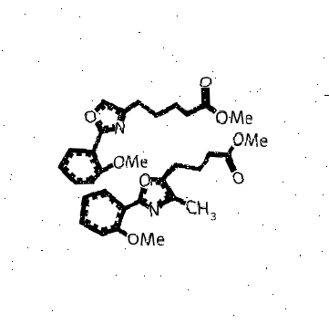 COC(=O)CCCCc1coc(-c2ccccc2OC)n1.COC(=O)CCCc1oc(-c2ccccc2OC)nc1C